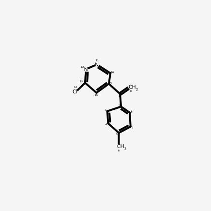 C=C(c1ccc(C)cc1)c1cnnc(Cl)c1